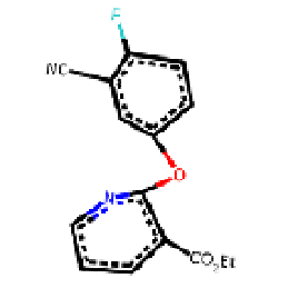 CCOC(=O)c1cccnc1Oc1ccc(F)c(C#N)c1